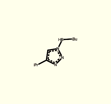 CCC(C)Bn1cc(C(C)C)nn1